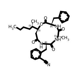 CCCC[C@H](C)[C@@H]1CC(=O)N[C@H](Cc2ccccc2C#N)C(=O)N[C@@H](C)C(=O)N[C@H](Cc2ccccc2)C(=O)O1